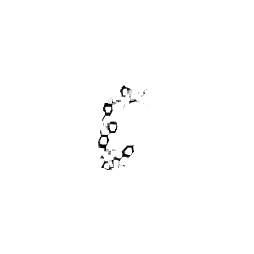 CCN(CC)[C@@H](C(=O)N1CCC[C@H]1C(=O)Nc1ccc(CN(Cc2ccc(NC(=O)[C@@H]3CCCN3C(=O)[C@@H](NC(=O)O)C(C)(C)C)cc2)c2ccccc2)cc1)c1ccccc1